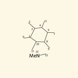 CC1C(C)C(C)C(C)C(C)C1C.CNC